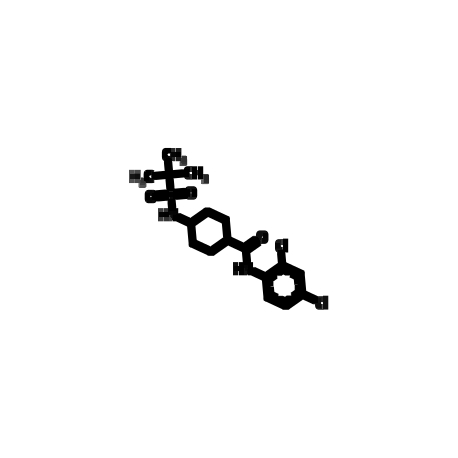 CC(C)(C)S(=O)(=O)NC1CCC(C(=O)Nc2ccc(Cl)cc2Cl)CC1